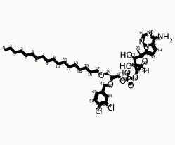 CCCCCCCCCCCCCCCCCCOC[C@H](COP(=O)(O)OC1[C@H]2O[C@@](C)(c3ccc4c(N)ncnn34)[C@H](O)[C@@]12O)OCc1ccc(Cl)c(Cl)c1